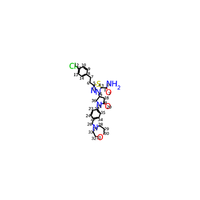 NC(=O)C1SC(CCc2ccc(Cl)cc2)=NN1C1CC(=O)N(c2ccc(CN3CCCOCC3)cc2)C1